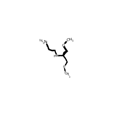 COCC(COC)NCCN